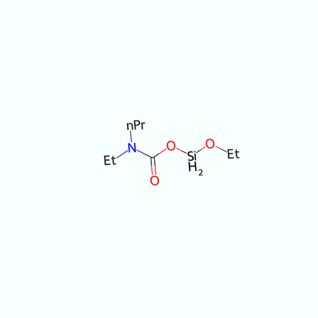 CCCN(CC)C(=O)O[SiH2]OCC